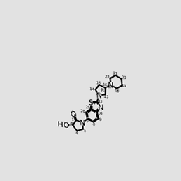 O=C1[C@@H](O)CCN1c1ccc2nc(N3CC[C@@H](N4CCCCC4)C3)sc2c1